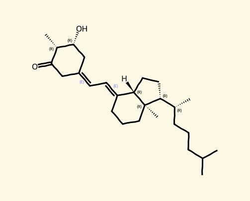 CC(C)CCC[C@@H](C)[C@H]1CC[C@H]2/C(=C/C=C3/CC(=O)[C@H](C)[C@H](O)C3)CCC[C@]12C